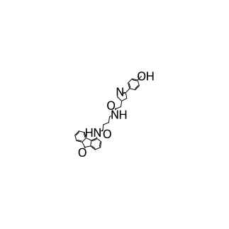 O=C(CC1CN=C(c2ccc(O)cc2)C1)NCCCC(=O)Nc1cccc2c1-c1ccccc1C2=O